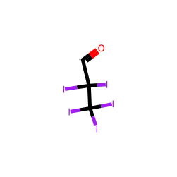 O=[C]C(I)(I)C(I)(I)I